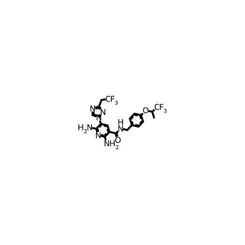 CC(Oc1ccc(CNC(=O)c2cc(-n3cnc(CC(F)(F)F)n3)c(N)nc2N)cc1)C(F)(F)F